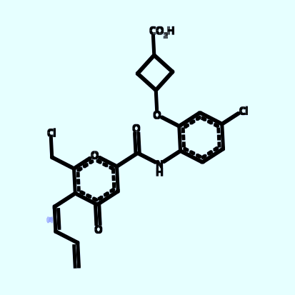 C=C/C=C\c1c(CCl)oc(C(=O)Nc2ccc(Cl)cc2OC2CC(C(=O)O)C2)cc1=O